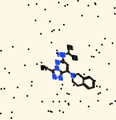 CCC(CC)Nc1cc(N2CCc3ccccc3C2)c2nnc(C(C)C)n2n1